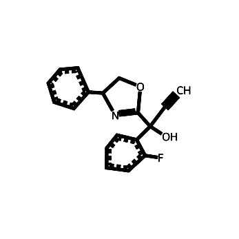 C#CC(O)(C1=NC(c2ccccc2)CO1)c1ccccc1F